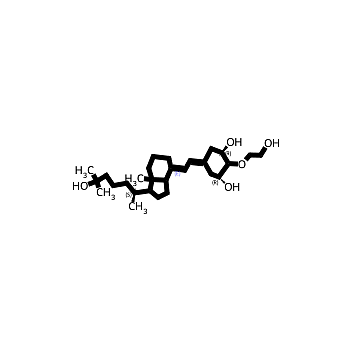 C[C@@H](CCCC(C)(C)O)C1CCC2/C(=C/C=C3C[C@@H](O)C(OCCO)[C@H](O)C3)CCCC21C